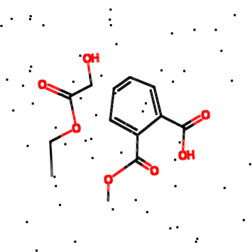 CCOC(=O)CO.COC(=O)c1ccccc1C(=O)O